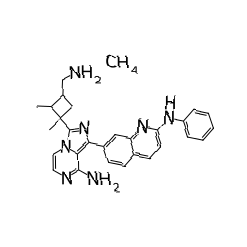 C.CC1C(CN)CC1(C)c1nc(-c2ccc3ccc(Nc4ccccc4)nc3c2)c2c(N)nccn12